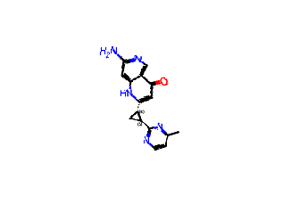 Cc1ccnc([C@H]2C[C@@H]2c2cc(=O)c3cnc(N)cc3[nH]2)n1